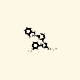 CCOC(=O)c1cn(-c2ccnc(NCc3ccccc3F)n2)c(-c2cccc(C(F)(F)F)c2)n1